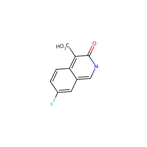 O=C(O)C1=c2ccc(F)cc2=C[N]C1=O